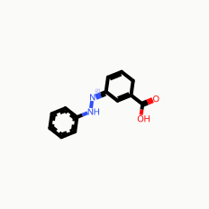 O=C(O)C1=C/C(=N\Nc2ccccc2)C=CC1